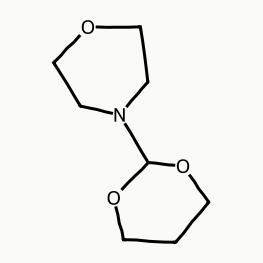 C1COC(N2CCOCC2)OC1